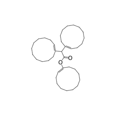 O=C(OC1=CCCCCCCCCCC1)C(C1=CCCCCCCCCCC1)C1=CCCCCCCCCCC1